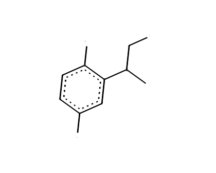 C[C](CCl)c1cc(F)ccc1Cl